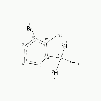 [2H]C([2H])([2H])c1cccc(Br)c1C